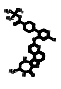 CC1CNc2c(sc3ccc4nc(Oc5nc(Cl)ncc5C5=CCN(C(=O)OC(C)(C)C)CC5)ccc4c23)C(=O)N1